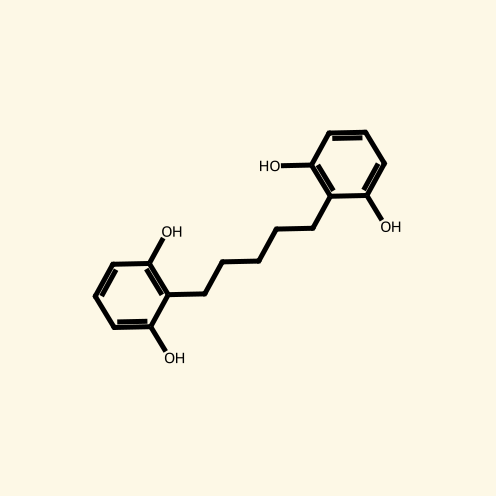 Oc1cccc(O)c1CCCCCc1c(O)cccc1O